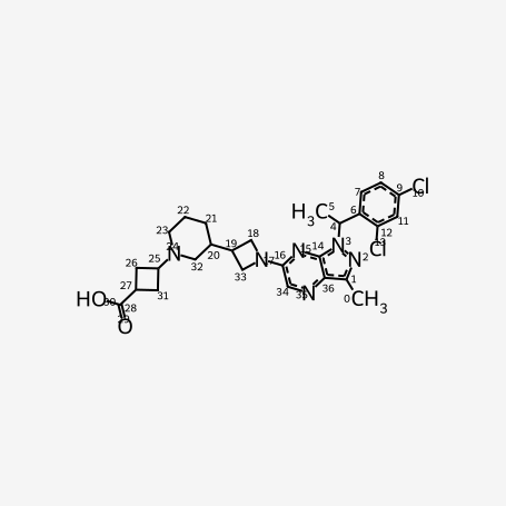 Cc1nn(C(C)c2ccc(Cl)cc2Cl)c2nc(N3CC(C4CCCN(C5CC(C(=O)O)C5)C4)C3)cnc12